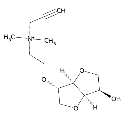 C#CC[N+](C)(C)CCO[C@H]1CO[C@H]2[C@@H]1OC[C@H]2O